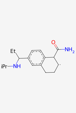 CCC(NC(C)C)c1ccc2c(c1)CC[CH]C2C(N)=O